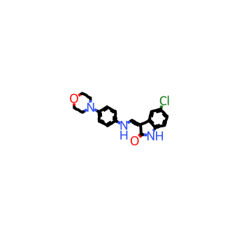 O=C1Nc2ccc(Cl)cc2C1=CNc1ccc(N2CCOCC2)cc1